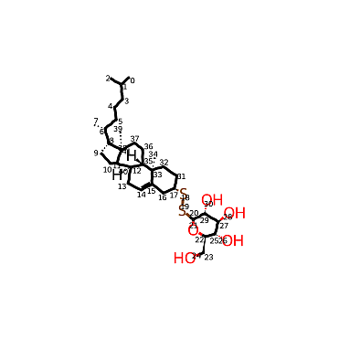 CC(C)CCC[C@@H](C)[C@H]1CCC2[C@@H]3CC=C4C[C@@H](SSC5O[C@H](CO)[C@@H](O)[C@H](O)[C@H]5O)CC[C@]4(C)[C@H]3CC[C@@]21C